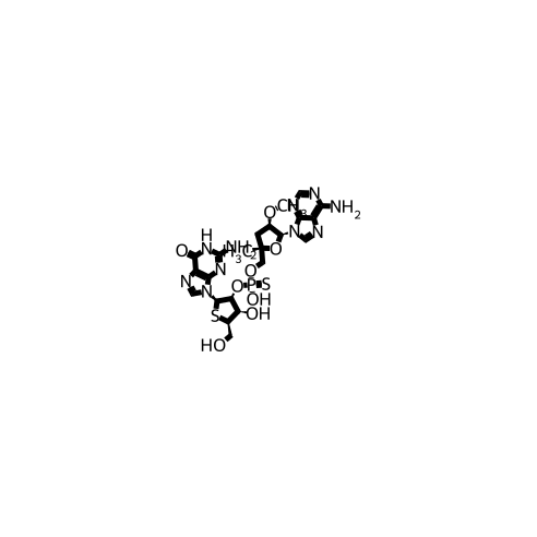 CO[C@@H]1C[C@@](C)(COP(O)(=S)O[C@@H]2[C@H](O)[C@@H](CO)S[C@H]2n2cnc3c(=O)[nH]c(N)nc32)O[C@H]1n1cnc2c(N)ncnc21